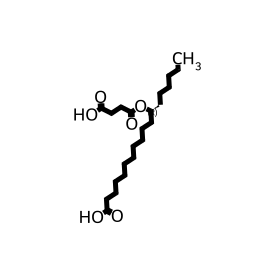 CCCCCC[C@H](CCCCCCCCCCC(=O)O)OC(=O)CCC(=O)O